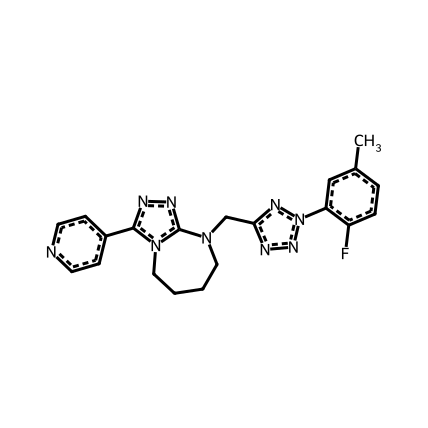 Cc1ccc(F)c(-n2nnc(CN3CCCCn4c(-c5ccncc5)nnc43)n2)c1